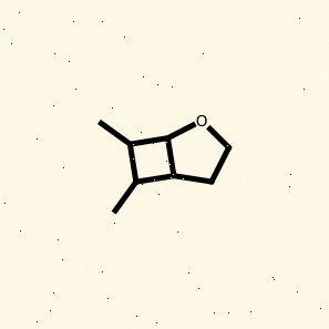 CC1C(C)C2OCCC12